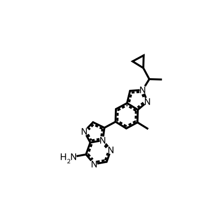 Cc1cc(-c2cnc3c(N)ncnn23)cc2cn(C(C)C3CC3)nc12